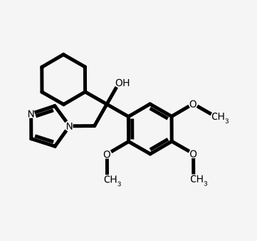 COc1cc(OC)c(C(O)(Cn2ccnc2)C2CCCCC2)cc1OC